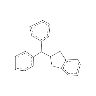 c1ccc(C(c2ccccc2)C2Cc3ccccc3C2)cc1